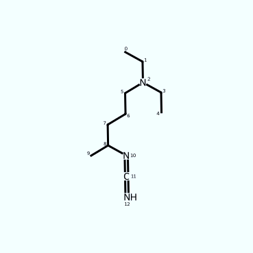 CCN(CC)CCCC(C)N=C=N